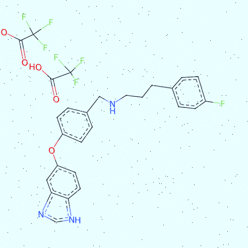 Fc1ccc(CCCNCc2ccc(Oc3ccc4[nH]cnc4c3)cc2)cc1.O=C(O)C(F)(F)F.O=C(O)C(F)(F)F